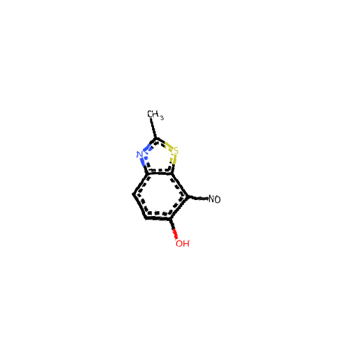 Cc1nc2ccc(O)c(N=O)c2s1